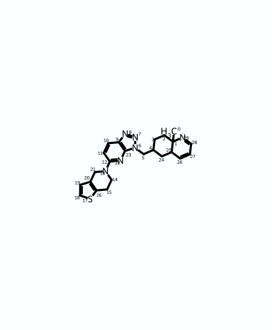 CC12CCC(Cn3nnc4ccc(N5CCc6sccc6C5)nc43)CC1C=CC=N2